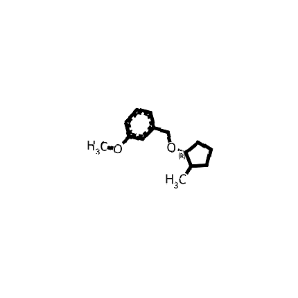 COc1cccc(CO[C@@H]2CCCC2C)c1